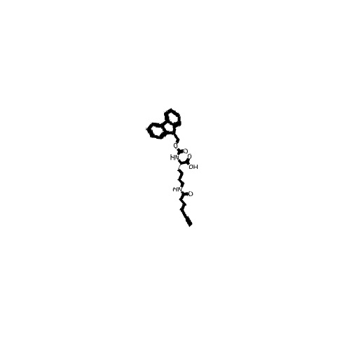 C#CCCCC(=O)NCCCC[C@H](NC(=O)OCC1c2ccccc2-c2ccccc21)C(=O)O